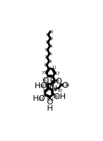 CCCCCCCCCCc1ccc2c(c1)OC(O)(c1cc(O)c(O)c(O)c1)C(NCC(=O)O)=C2